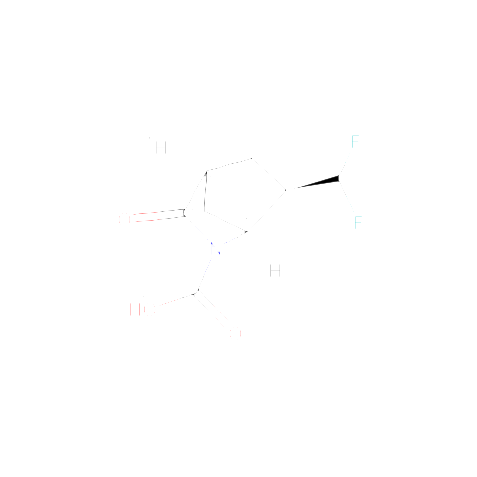 O=C(O)N1C(=O)[C@H]2C[C@@H](C(F)F)[C@@H]1C2